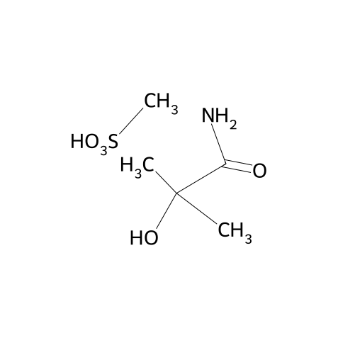 CC(C)(O)C(N)=O.CS(=O)(=O)O